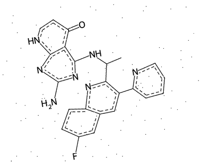 CC(Nc1nc(N)nc2[nH]ccc(=O)c12)c1nc2ccc(F)cc2cc1-c1ccccn1